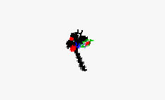 CCCCCCCCCCCC(=O)[NH][Ti+2]([C]1=C(C)C(C)=C(C)C1C)[SiH](c1ccccc1)c1ccccc1.[Cl-].[Cl-]